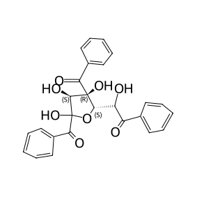 O=C(c1ccccc1)C(O)[C@@H]1OC(O)(C(=O)c2ccccc2)[C@@H](O)[C@]1(O)C(=O)c1ccccc1